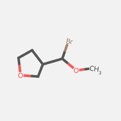 COC(Br)C1CCOC1